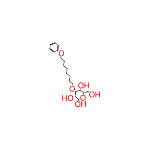 OC[C@H]1OC(O)[C@H](O)[C@@H](OCCCCCCCCOc2ccccc2)[C@@H]1O